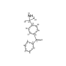 C=C(c1ccccc1)c1ccc(C(C)(C)N)cc1